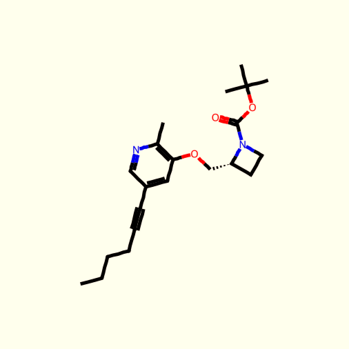 CCCCC#Cc1cnc(C)c(OC[C@H]2CCN2C(=O)OC(C)(C)C)c1